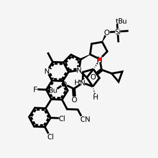 Cc1nc2c(F)c(-c3cccc(Cl)c3Cl)c(CCC#N)cc2c2c1cc([C@H]1C[C@@H](O[Si](C)(C)C(C)(C)C)CN1C(=O)C1CC1)n2[C@H]1[C@@H]2C[C@H]1N(C(=O)OC(C)(C)C)C2